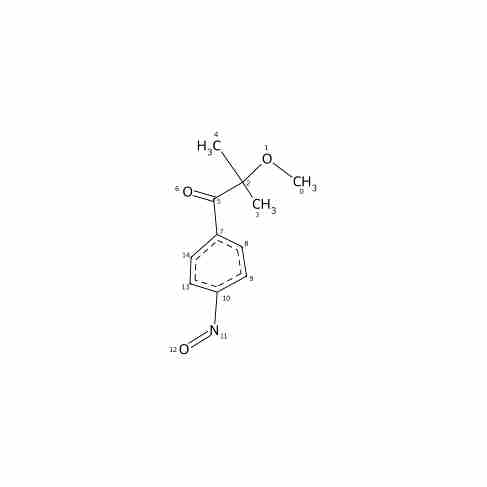 COC(C)(C)C(=O)c1ccc(N=O)cc1